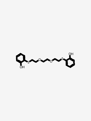 Oc1ccccc1SCCOCCOCCSc1ccccc1O